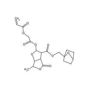 C=CC(=O)OCC(=O)OC1OC2C(C)OC(=O)C2C1C(=O)OCC12CCC(CC1)O2